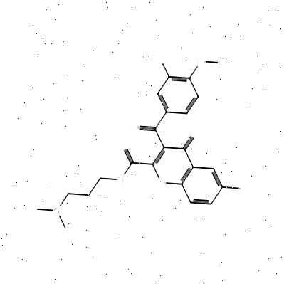 CCOc1ccc(C(=O)c2c(C(=O)NCCCN(C)C)oc3ccc(Cl)cc3c2=O)cc1OC